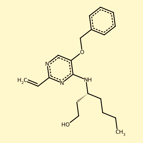 C=Cc1ncc(OCc2ccccc2)c(N[C@@H](CCO)CCCC)n1